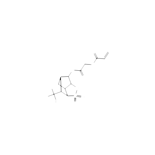 C=CC(=O)OCC(=O)OC1C2CC3C1OS(=O)(=O)C3C2C(F)(F)F